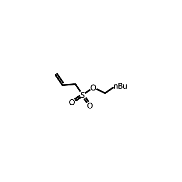 C=CCS(=O)(=O)OCCCCC